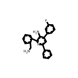 NCc1ccccc1-c1nc(-c2ccccc2)cc(-c2cccc(F)c2)c1N